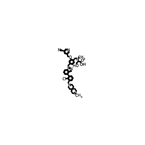 CN1CCC2(CC1)CCN(Cc1cccc(-c3cccc4c3cnn4Cc3ccc(CN(C)C(CO)C(=O)O)c(OCc4cncc(C#N)c4)c3)c1Cl)CC2